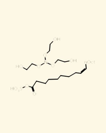 CCCCCCCC/C=C\CCCCCCCC(=O)OS(=O)(=O)O.OCCON(OCCO)OCCO